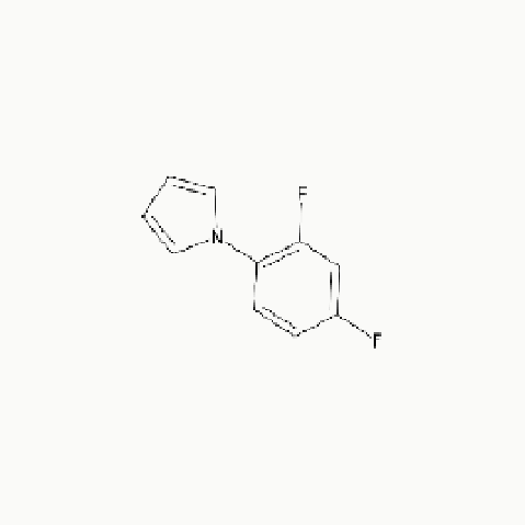 Fc1ccc(-n2cccc2)c(F)c1